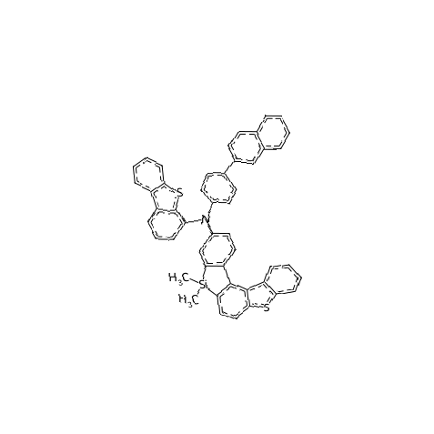 C[Si]1(C)c2cc(N(c3ccc(-c4ccc5ccccc5c4)cc3)c3cccc4c3sc3ccccc34)ccc2-c2c1ccc1sc3ccccc3c21